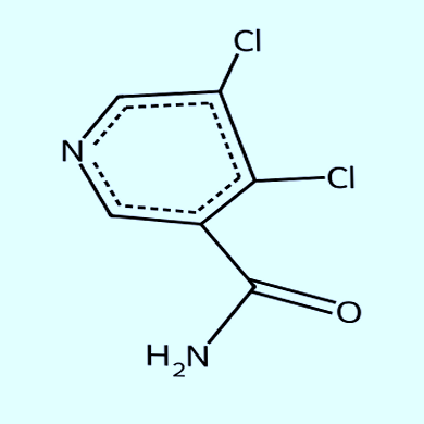 NC(=O)c1cncc(Cl)c1Cl